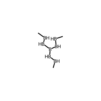 CBBB(BBC)BBC